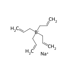 C=CC[B-](CC=C)(CC=C)CC=C.[Na+]